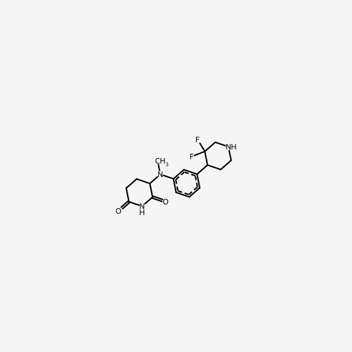 CN(c1cccc(C2CCNCC2(F)F)c1)C1CCC(=O)NC1=O